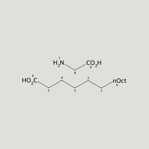 CCCCCCCCCCCCCC(=O)O.NCC(=O)O